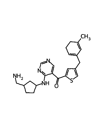 CC1=CC(Cc2csc(C(=O)c3cncnc3NC3CCC(CN)C3)c2)=CCC1